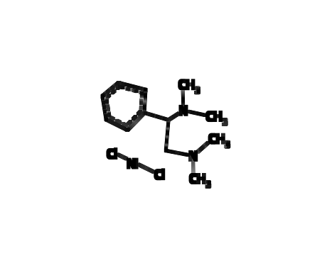 CN(C)CC(c1ccccc1)N(C)C.[Cl][Ni][Cl]